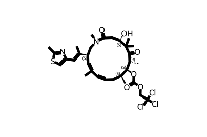 CC1=C[C@@H](C(C)=Cc2csc(C)n2)CN(C)C(=O)C[C@H](O)C(C)(C)C(=O)[C@H](C)[C@@H](OC(=O)OCC(Cl)(Cl)Cl)[C@@H](C)CC=C1